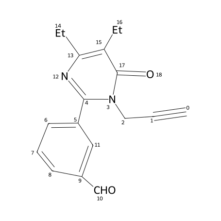 C#CCn1c(-c2cccc(C=O)c2)nc(CC)c(CC)c1=O